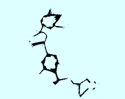 Cc1cc(C2=NO[C@@](c3cc(Cl)cc(Cl)c3)(C(F)(F)F)C2)ccc1C(=O)NCC1CS(=O)(=O)C1